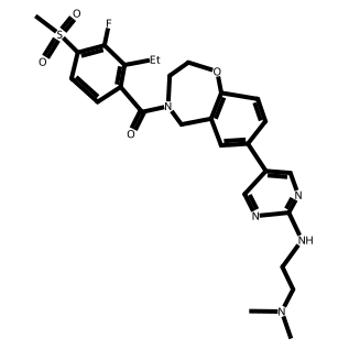 CCc1c(C(=O)N2CCOc3ccc(-c4cnc(NCCN(C)C)nc4)cc3C2)ccc(S(C)(=O)=O)c1F